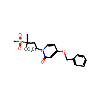 CCOC(=O)C(C)(CCn1ccc(OCc2ccccc2)cc1=O)S(C)(=O)=O